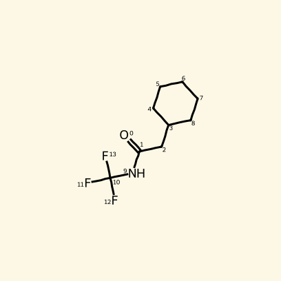 O=C(CC1CCCCC1)NC(F)(F)F